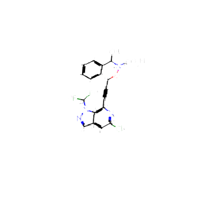 CC(c1ccccc1)N(OCC#Cc1nc(Cl)cc2cnn(C(F)F)c12)C(=O)O